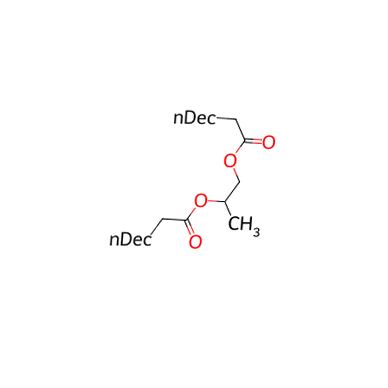 CCCCCCCCCCCC(=O)OCC(C)OC(=O)CCCCCCCCCCC